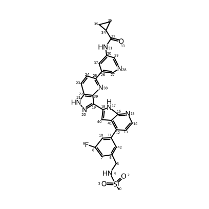 CS(=O)(=O)NCc1cc(F)cc(-c2ccnc3[nH]c(-c4n[nH]c5ccc(-c6cncc(NC(=O)C7CC7)c6)nc45)cc23)c1